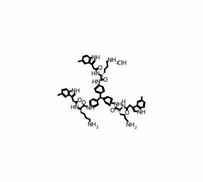 Cc1ccc2[nH]cc(CC(=O)N[C@H](CCCCN)C(=O)Nc3ccc(C(c4ccc(NC(=O)[C@@H](CCCCN)NC(=O)Cc5c[nH]c6ccc(C)cc56)cc4)c4ccc(NC(=O)[C@@H](CCCCN)NC(=O)Cc5c[nH]c6ccc(C)cc56)cc4)cc3)c2c1.Cl